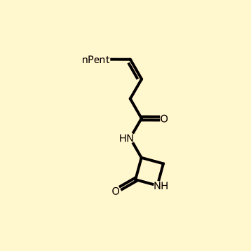 CCCCC/C=C\CC(=O)NC1CNC1=O